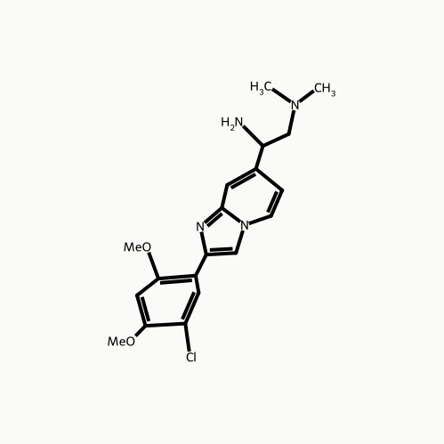 COc1cc(OC)c(-c2cn3ccc(C(N)CN(C)C)cc3n2)cc1Cl